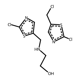 ClCc1cnc(Cl)s1.OCCNCc1cnc(Cl)s1